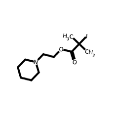 CC(C)(I)C(=O)OCCN1CCCCC1